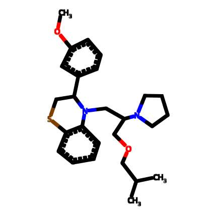 COc1cccc(C2CSc3ccccc3N2CC(COCC(C)C)N2CCCC2)c1